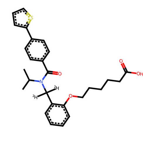 [2H]C([2H])(c1ccccc1OCCCCCC(=O)O)N(C(=O)c1ccc(-c2cccs2)cc1)C(C)C